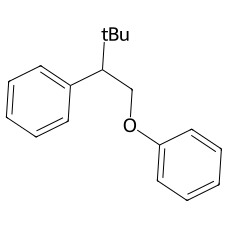 CC(C)(C)C(COc1ccccc1)c1ccccc1